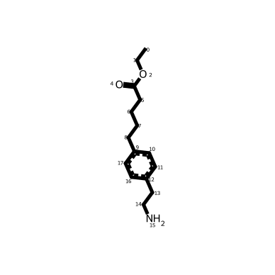 CCOC(=O)CCCCc1ccc(CCN)cc1